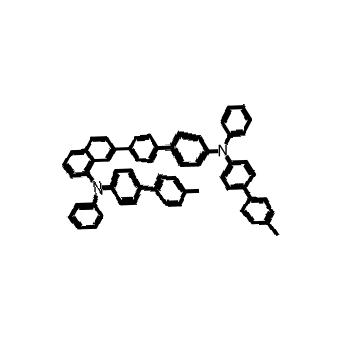 Cc1ccc(-c2ccc(N(c3ccccc3)c3ccc(-c4ccc(-c5ccc6cccc(N(c7ccccc7)c7ccc(-c8ccc(C)cc8)cc7)c6c5)cc4)cc3)cc2)cc1